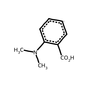 CN(C)c1cc[c]cc1C(=O)O